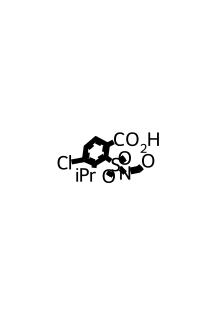 CC(C)c1c(Cl)ccc(C(=O)O)c1S(=O)(=O)N=C=O